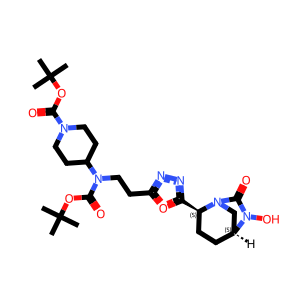 CC(C)(C)OC(=O)N1CCC(N(CCc2nnc([C@@H]3CC[C@H]4CN3C(=O)N4O)o2)C(=O)OC(C)(C)C)CC1